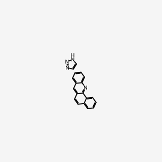 c1c[nH]nn1.c1ccc2nc3c(ccc4ccccc43)cc2c1